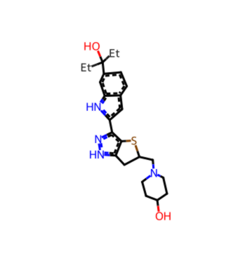 CCC(O)(CC)c1ccc2cc(-c3n[nH]c4c3SC(CN3CCC(O)CC3)C4)[nH]c2c1